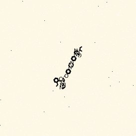 CCc1ccccc1[C@]1(Cn2nccn2)OC[C@@H](COc2ccc(N3CCN(c4ccc(-n5cnn(C(C)CC)c5=O)cc4)CC3)cc2)O1